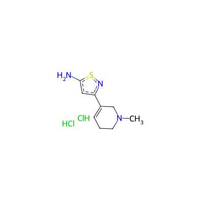 CN1CCC=C(c2cc(N)sn2)C1.Cl.Cl